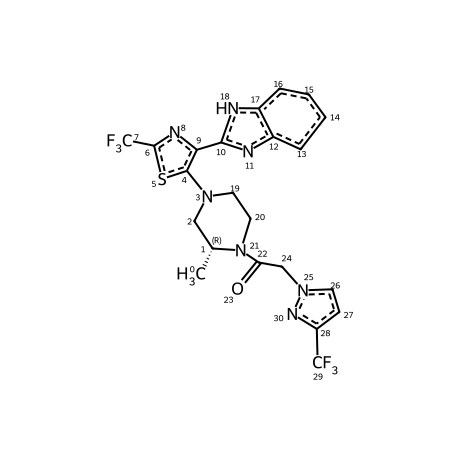 C[C@@H]1CN(c2sc(C(F)(F)F)nc2-c2nc3ccccc3[nH]2)CCN1C(=O)Cn1ccc(C(F)(F)F)n1